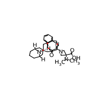 CN(C)C1(C(=O)O)CN(c2nc3ccccc3n([C@H]3C[C@H]4CCC[C@@H](C3)N4C3CC4CCCCC(C4)C3)c2=O)C1